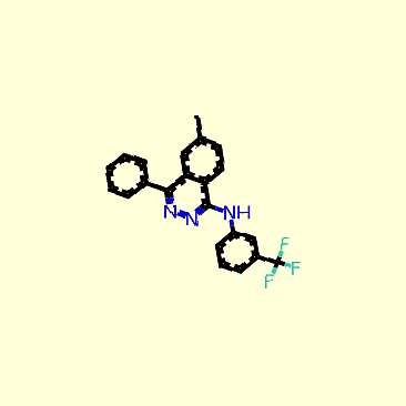 Cc1ccc2c(Nc3cccc(C(F)(F)F)c3)nnc(-c3ccccc3)c2c1